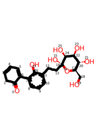 O=C1CC=CC=C1c1cccc(CC[C@]2(O)O[C@H](CO)[C@@H](O)[C@H](O)[C@@H]2O)c1O